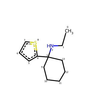 CCNC1(c2cccs2)CCCCC1